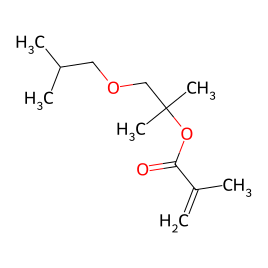 C=C(C)C(=O)OC(C)(C)COCC(C)C